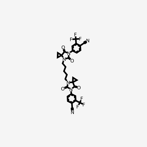 N#Cc1ccc(N2C(=O)N(CCCCCN3C(=O)N(c4ccc(C#N)c(C(F)(F)F)c4)C(=O)C34CC4)C3(CC3)C2=O)cc1C(F)(F)F